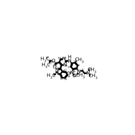 Cc1cc(N(C)CCN(C)C)c([N+](=O)[O-])cc1Nc1ncc(C(=O)OC(C)C)c(-c2nn(C)c3ccccc23)n1